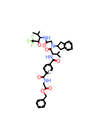 CC(C)C(NC(=O)CN(C(=O)[C@@H](NC(=O)c1ccc(C(=O)NCC(=O)OCc2ccccc2)cc1)C(C)C)C1Cc2ccccc2C1)C(=O)C(F)(F)F